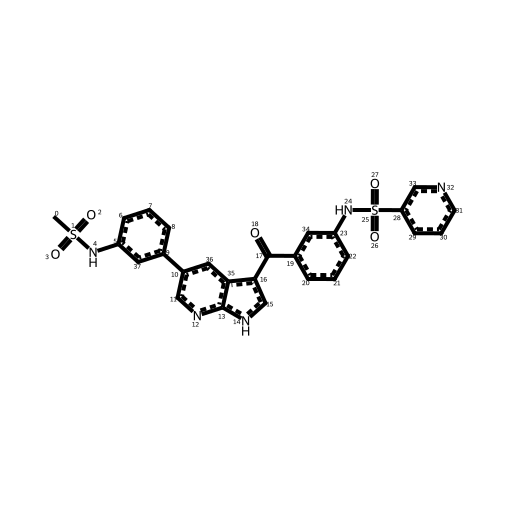 CS(=O)(=O)Nc1cccc(-c2cnc3[nH]cc(C(=O)c4cccc(NS(=O)(=O)c5cccnc5)c4)c3c2)c1